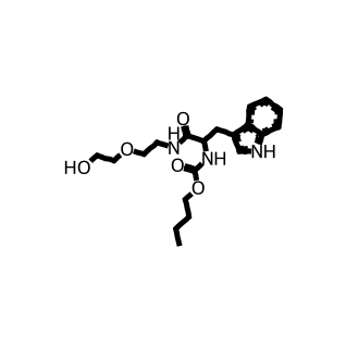 CCCCOC(=O)NC(Cc1c[nH]c2ccccc12)C(=O)NCCOCCO